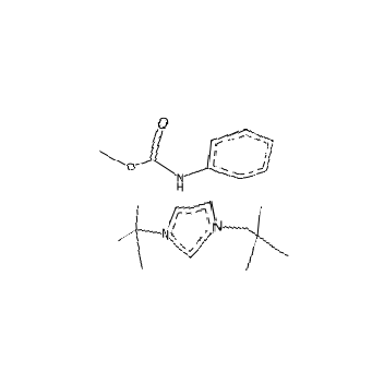 CC(C)(C)n1cc[n+](C(C)(C)C)c1.COC(=O)Nc1ccccc1